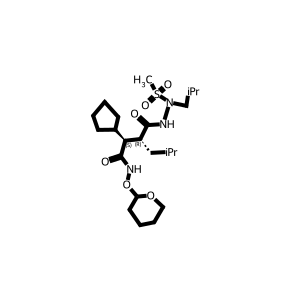 CC(C)C[C@@H](C(=O)NN(CC(C)C)S(C)(=O)=O)[C@@H](C(=O)NOC1CCCCO1)C1CCCC1